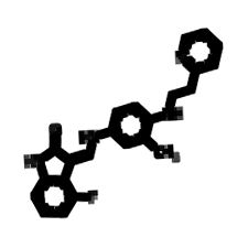 Cc1cc(NC=C2C(=O)Nc3cccc(F)c32)ccc1NCCc1ccccn1